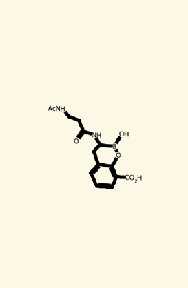 CC(=O)NCCC(=O)NC1Cc2cccc(C(=O)O)c2OB1O